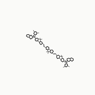 Cc1cc(C)cc(N(c2ccc3c(c2)C(C)(C)c2cc(/C=C/c4ccc5c(c4)C(C)(C)c4cc(/C=C/c6ccc7c(c6)C(C)(C)c6cc(N(c8cc(C)cc(C)c8)c8ccc9ccccc9c8)ccc6-7)ccc4-5)ccc2-3)c2ccc3ccccc3c2)c1